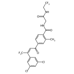 Cc1cc(C(=O)/C=C(\c2cc(Cl)cc(Cl)c2)C(F)(F)F)ccc1C(=O)NCC(=O)NCC(F)(F)F